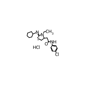 CCN1C(=NC2CCCCC2)SCC1CC(=O)Nc1ccc(Cl)cc1.Cl